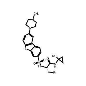 CC(C)C[C@H](NS(=O)(=O)c1ccc2c(c1)oc1ccc(N3CCN(C)CC3)cc12)C(=O)NC1(C#N)CC1